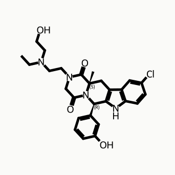 CCN(CCO)CCN1CC(=O)N2[C@H](c3cccc(O)c3)c3[nH]c4ccc(Cl)cc4c3C[C@@]2(C)C1=O